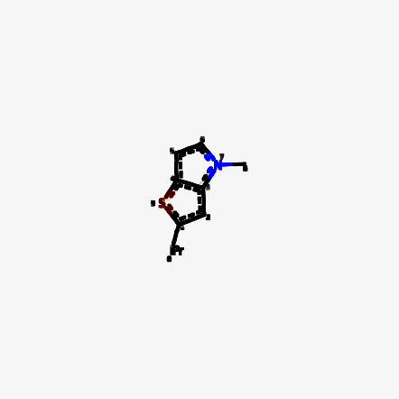 CC(C)c1cc2c(ccn2C)s1